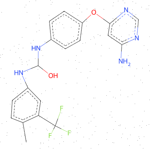 Cc1ccc(NC(O)Nc2ccc(Oc3cc(N)ncn3)cc2)cc1C(F)(F)F